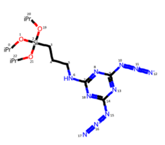 CC(C)O[Si](CCCNc1nc(N=[N+]=[N-])nc(N=[N+]=[N-])n1)(OC(C)C)OC(C)C